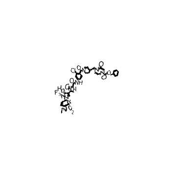 Cn1c(-c2cn(-c3ccc([N+](=O)[O-])cn3)nc2C(F)(F)F)cnc1C(=O)Nc1ccc(C(=O)N2CCC(CN3CCN(C(=O)OCc4ccccc4)CC3=O)CC2)c(Cl)c1